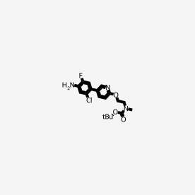 CN(CCOc1ccc(-c2cc(F)c(N)cc2Cl)cn1)C(=O)OC(C)(C)C